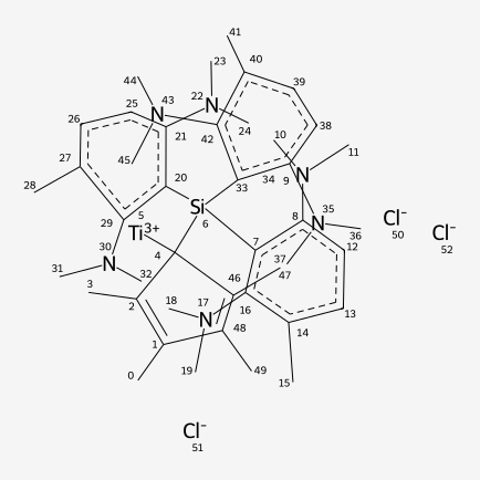 CC1=C(C)[C]([Ti+3])([Si](c2c(N(C)C)ccc(C)c2N(C)C)(c2c(N(C)C)ccc(C)c2N(C)C)c2c(N(C)C)ccc(C)c2N(C)C)C(C)=C1C.[Cl-].[Cl-].[Cl-]